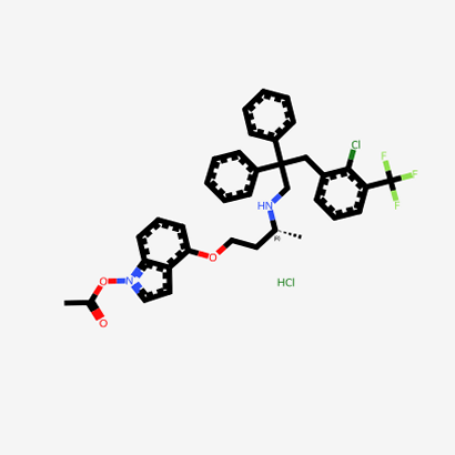 CC(=O)On1ccc2c(OCC[C@@H](C)NCC(Cc3cccc(C(F)(F)F)c3Cl)(c3ccccc3)c3ccccc3)cccc21.Cl